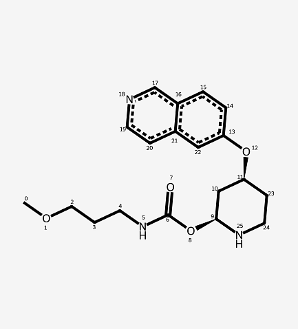 COCCCNC(=O)O[C@H]1C[C@@H](Oc2ccc3cnccc3c2)CCN1